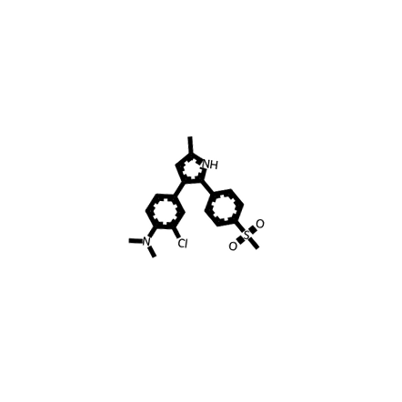 Cc1cc(-c2ccc(N(C)C)c(Cl)c2)c(-c2ccc(S(C)(=O)=O)cc2)[nH]1